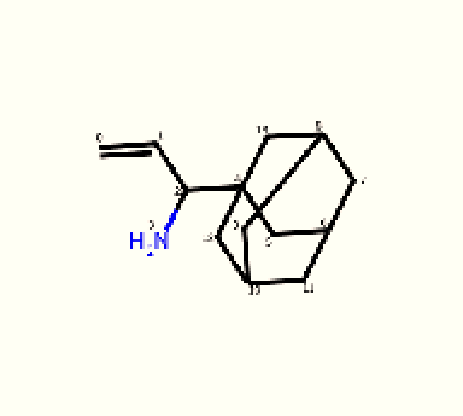 C=CC(N)C12CC3CC(CC(C3)C1)C2